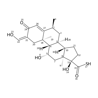 C[C@H]1C[C@@H]2[C@H]([C@@H](O)C[C@@]3(C)[C@H]2CC[C@]3(O)C(=O)S)[C@@]2(C)C/C(=C/O)C(=O)C=C12